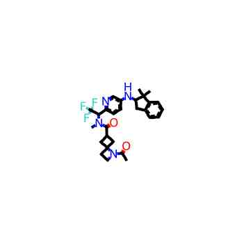 CC(=O)N1CCC12CC(C(=O)N(C)C(c1ccc(NC3Cc4ccccc4C3(C)C)cn1)C(F)(F)F)C2